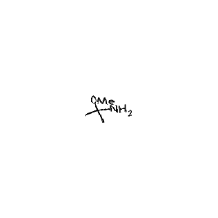 [CH]OC(C)(C)N